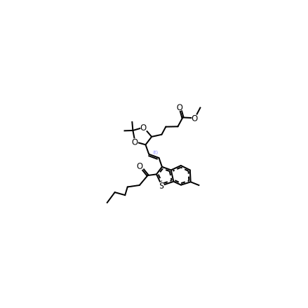 CCCCCC(=O)c1sc2cc(C)ccc2c1/C=C/C1OC(C)(C)OC1CCCC(=O)OC